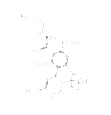 CCCCCc1cc2c(c(O)c1C(=O)NCCC(=O)O)C1C=C(C)CCC1C(C)(C)O2